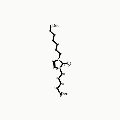 CCCCCCCCCCCCCCCCN1C=CN(CCCCCCCCCCCCCC)C1CC